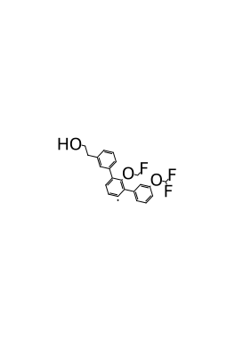 OCCc1cccc(-c2cc[c]c(-c3cccc(OC(F)F)c3)c2OCF)c1